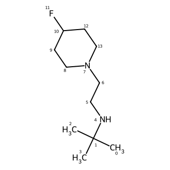 CC(C)(C)NCCN1CCC(F)CC1